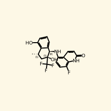 C[C@H]1C[C@@](O)(C(F)(F)F)[C@H](Nc2ccc(F)c3[nH]c(=O)ccc23)c2cccc(O)c21